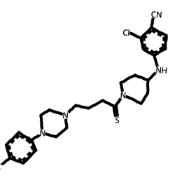 N#Cc1ccc(NC2CCN(C(=S)CCCN3CCN(c4ccc(C(F)(F)F)cc4)CC3)CC2)cc1Cl